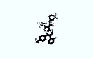 NS(=O)(=O)c1nn2c(-c3ccc(C(F)(F)F)cc3)c(-c3ccccc3Cl)cnc2c1C(=O)NC1CCS(=O)(=O)C1